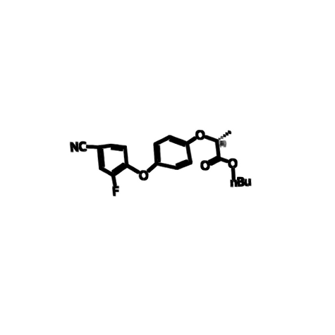 CCCCOC(=O)[C@@H](C)Oc1ccc(Oc2ccc(C#N)cc2F)cc1